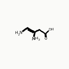 N/C=C(\N)CC(=O)O